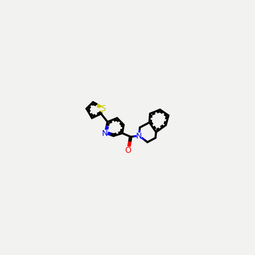 O=C(c1ccc(-c2cccs2)nc1)N1CCc2ccccc2C1